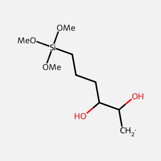 [CH2]C(O)C(O)CCC[Si](OC)(OC)OC